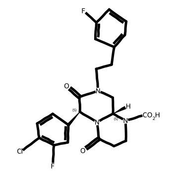 O=C1[C@H](c2ccc(Cl)c(F)c2)N2C(=O)CCN(C(=O)O)[C@H]2CN1CCc1cccc(F)c1